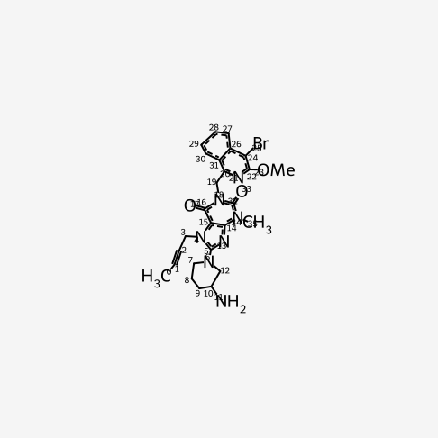 CC#CCn1c(N2CCCC(N)C2)nc2c1c(=O)n(Cc1nc(OC)c(Br)c3ccccc13)c(=O)n2C